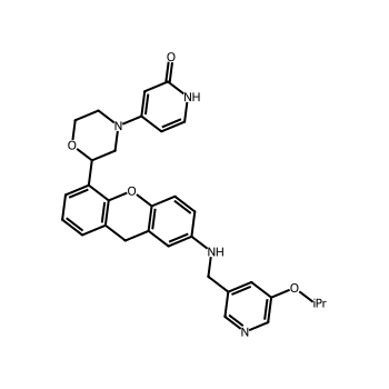 CC(C)Oc1cncc(CNc2ccc3c(c2)Cc2cccc(C4CN(c5cc[nH]c(=O)c5)CCO4)c2O3)c1